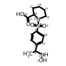 CC(NO)c1ccc(S(=O)(=O)N2CCCCC2C(=O)O)cc1